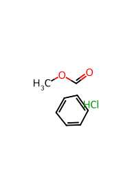 COC=O.Cl.c1ccccc1